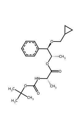 C[C@H](NC(=O)OC(C)(C)C)C(=O)O[C@@H](C)[C@H](OCC1CC1)c1ccccc1